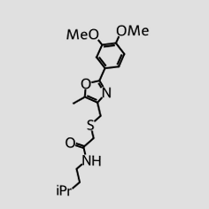 COc1ccc(-c2nc(CSCC(=O)NCCC(C)C)c(C)o2)cc1OC